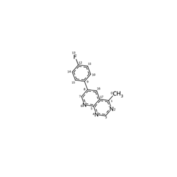 Cc1ncnc2ncc(-c3ccc(F)cc3)cc12